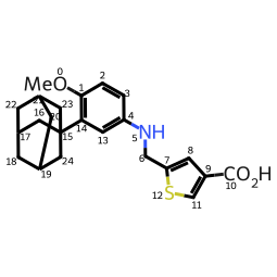 COc1ccc(NCc2cc(C(=O)O)cs2)cc1C12CC3CC(CC(C3)C1)C2